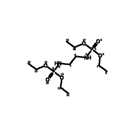 CCOP(=O)(NCCNP(=O)(OCC)OCC)OCC